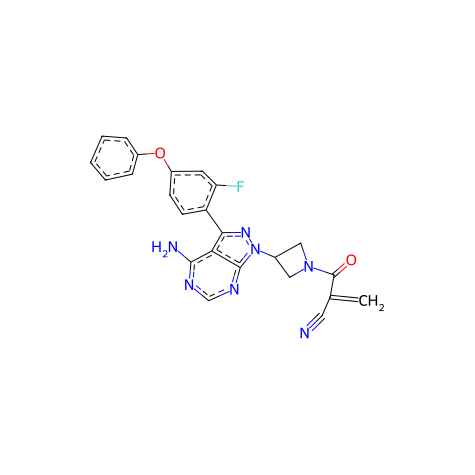 C=C(C#N)C(=O)N1CC(n2nc(-c3ccc(Oc4ccccc4)cc3F)c3c(N)ncnc32)C1